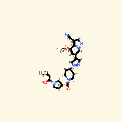 C=CC(=O)N1CC[C@@H](C(=O)N2CCC(n3cc(-c4cc(OC)c5c(C#N)cnn5c4)cn3)CC2)C1